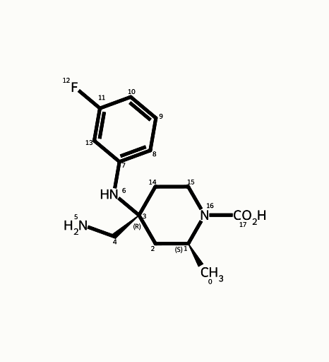 C[C@H]1C[C@](CN)(Nc2cccc(F)c2)CCN1C(=O)O